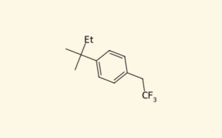 CCC(C)(C)c1ccc(CC(F)(F)F)cc1